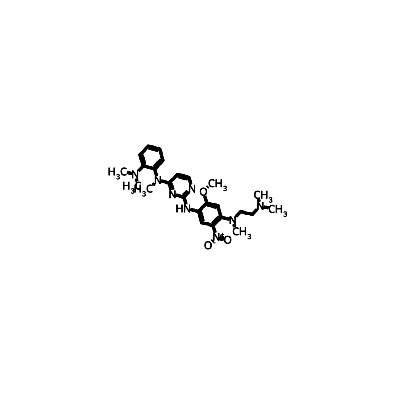 COc1cc(N(C)CCN(C)C)c([N+](=O)[O-])cc1Nc1nccc(N(C)c2ccccc2N(C)C)n1